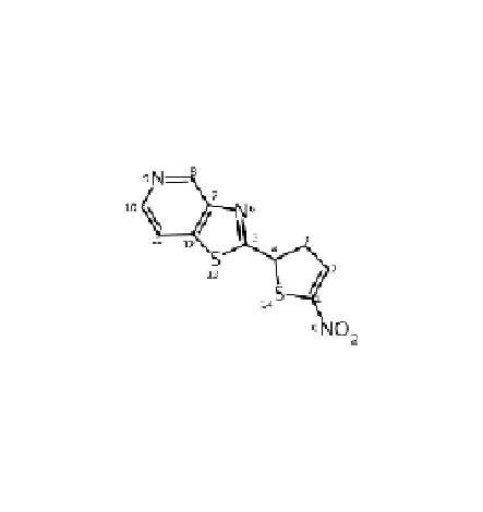 O=[N+]([O-])C1=CCC(c2nc3cnccc3s2)S1